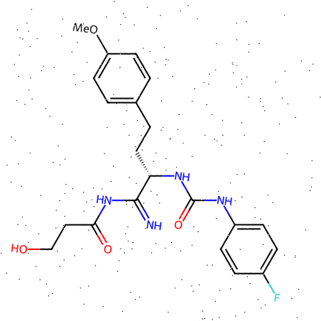 COc1ccc(CC[C@H](NC(=O)Nc2ccc(F)cc2)C(=N)NC(=O)CCO)cc1